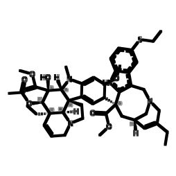 CCSc1ccc2[nH]c3c(c2c1)CN1CC(CC)=C[C@@H](C1)C[C@]3(C(=O)OC)C1C=C2C(=CC1OC)N(C)[C@H]1[C@@](O)(C(=O)OC)[C@H](OC(C)=O)[C@]3(CC)C=CCN4CC[C@]21[C@@H]43